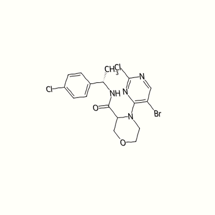 C[C@H](NC(=O)C1COCCN1c1nc(Cl)ncc1Br)c1ccc(Cl)cc1